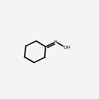 ON=C1[CH]CCCC1